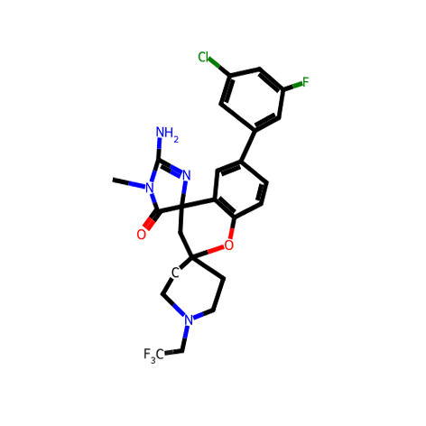 CN1C(=O)C2(CC3(CCN(CC(F)(F)F)CC3)Oc3ccc(-c4cc(F)cc(Cl)c4)cc32)N=C1N